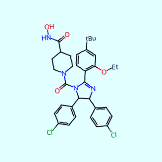 CCOc1cc(C(C)(C)C)ccc1C1=NC(c2ccc(Cl)cc2)C(c2ccc(Cl)cc2)N1C(=O)N1CCC(C(=O)NO)CC1